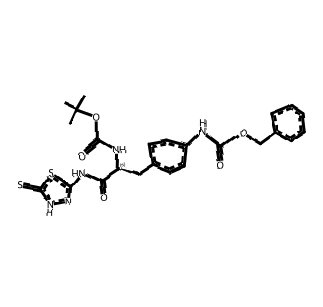 CC(C)(C)OC(=O)N[C@@H](Cc1ccc(NC(=O)OCc2ccccc2)cc1)C(=O)Nc1n[nH]c(=S)s1